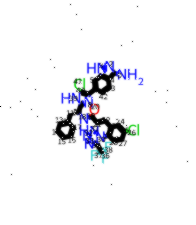 Nc1n[nH]c2cc(-c3nc([C@H](Cc4ccccc4)NC(=O)C=Cc4cc(Cl)ccc4-n4nnnc4C(F)(F)F)[nH]c3Cl)ccc12